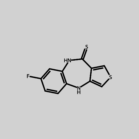 Fc1ccc2c(c1)NC(=S)c1cscc1N2